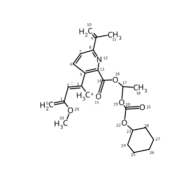 C=C(/C=C(\C)c1ccc(C(=C)C)nc1C(=O)OC(C)OC(=O)OC1CCCCC1)OC